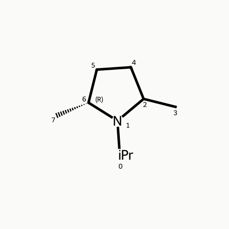 CC(C)N1C(C)CC[C@H]1C